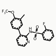 Cc1cc(-c2cccnc2NS(=O)(=O)c2ccccc2F)ccc1OC(F)(F)F